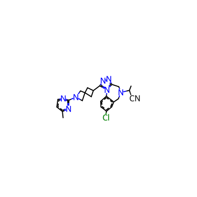 Cc1ccnc(N2CC3(CC(c4nnc5n4-c4ccc(Cl)cc4CN(C(C)C#N)C5)C3)C2)n1